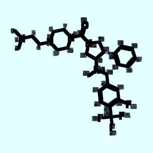 CN(C)CCN1CCN(C(=O)N2C[C@H](c3ccccc3)[C@@H](N(C)Cc3ccc(C(F)(F)F)c(F)c3)C2)CC1